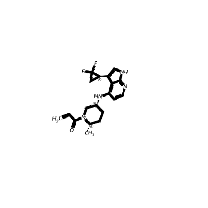 C=CC(=O)N1C[C@H](Nc2ccnc3[nH]cc([C@H]4CC4(F)F)c23)CC[C@@H]1C